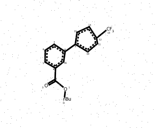 CCCCOC(=O)c1cccc(-c2ccc(C(F)(F)F)cc2)c1